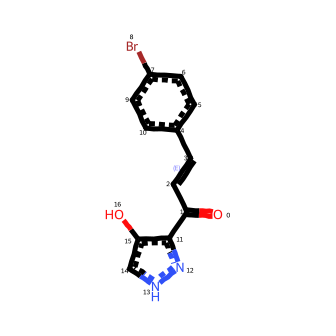 O=C(/C=C/c1ccc(Br)cc1)c1n[nH]cc1O